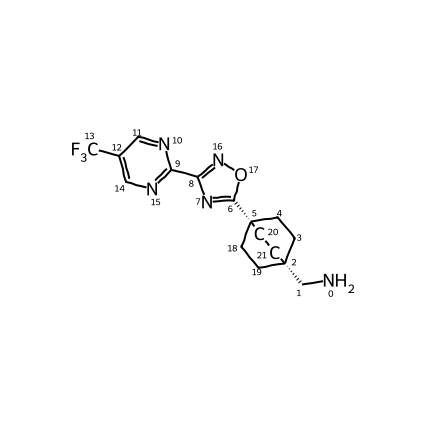 NC[C@]12CC[C@](c3nc(-c4ncc(C(F)(F)F)cn4)no3)(CC1)CC2